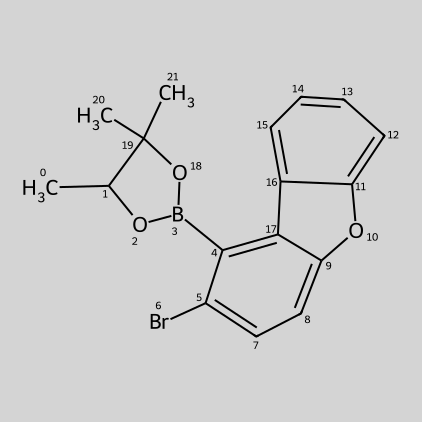 CC1OB(c2c(Br)ccc3oc4ccccc4c23)OC1(C)C